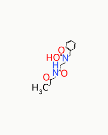 CCC(=O)CNC(=O)CCN(Cc1ccccc1)C(=O)O